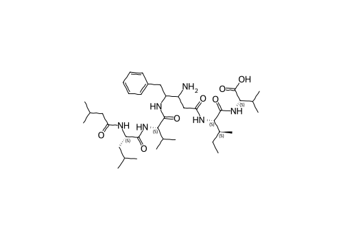 CC[C@H](C)[C@H](NC(=O)CC(N)C(Cc1ccccc1)NC(=O)[C@@H](NC(=O)[C@H](CC(C)C)NC(=O)CC(C)C)C(C)C)C(=O)N[C@H](C(=O)O)C(C)C